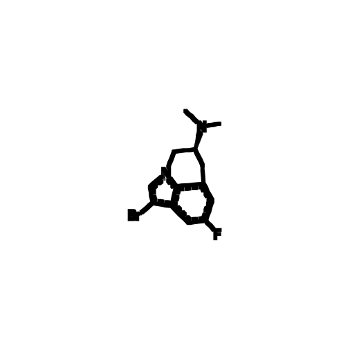 CN(C)[C@H]1Cc2cc(F)cc3c(Br)cn(c23)C1